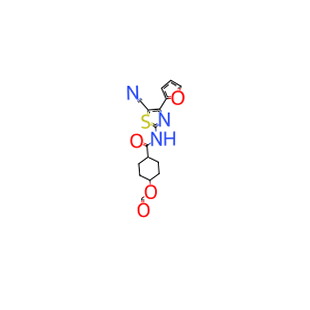 N#Cc1sc(NC(=O)C2CCC(OC=O)CC2)nc1-c1ccco1